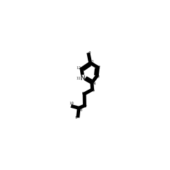 Cc1ccc(CCCC(C)C)nc1